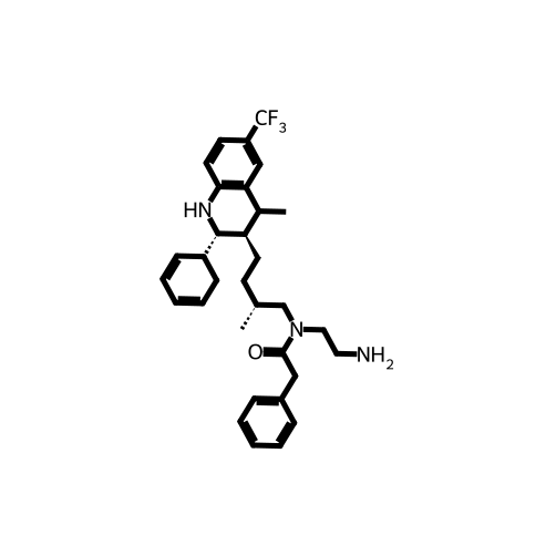 CC1c2cc(C(F)(F)F)ccc2N[C@@H](C2C=CC=CC2)[C@@H]1CC[C@@H](C)CN(CCN)C(=O)Cc1ccccc1